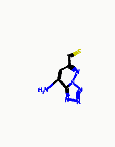 Nc1cc([C]=S)nn2nnnc12